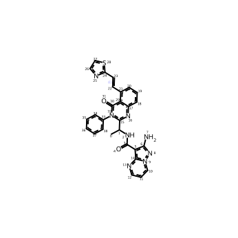 CC(NC(=O)c1c(N)nn2cccnc12)c1nc2cccc(/C=C/c3nccs3)c2c(=O)n1-c1ccccc1